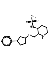 CS(=O)(=O)N[C@H]1CCCN[C@H]1COC1CCC(c2ccccc2)C1